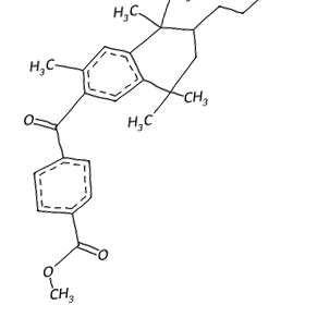 COC(=O)c1ccc(C(=O)c2cc3c(cc2C)C(C)(C)C(CCS)CC3(C)C)cc1